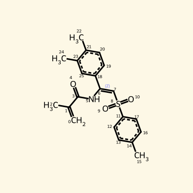 C=C(C)C(=O)N/C(=C\S(=O)(=O)c1ccc(C)cc1)c1ccc(C)c(C)c1